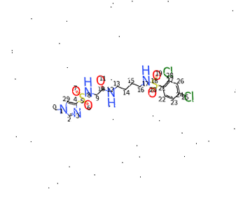 Cn1cnc(S(=O)(=O)NCC(=O)NCCCCNS(=O)(=O)c2ccc(Cl)cc2Cl)c1